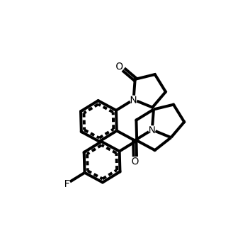 O=C1CCCN1c1ccccc1C(=O)N1C2CCC1CC(c1ccc(F)cc1)C2